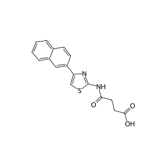 O=C(O)CCC(=O)Nc1nc(-c2ccc3ccccc3c2)cs1